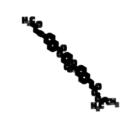 C=CC(=C)OCOC(=O)/C=C/c1ccc2cc(C(=O)Oc3ccc(OC(=O)c4ccc5cc(C#CCC(=O)C=C)ccc5c4)cc3C)ccc2c1